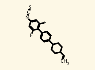 C=CC1CCC(c2ccc(-c3c(F)cc(N=C=S)cc3F)cc2)CC1